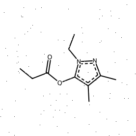 CCC(=O)Oc1c(C)c(C)nn1CC